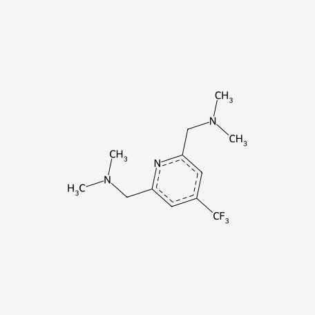 CN(C)Cc1cc(C(F)(F)F)cc(CN(C)C)n1